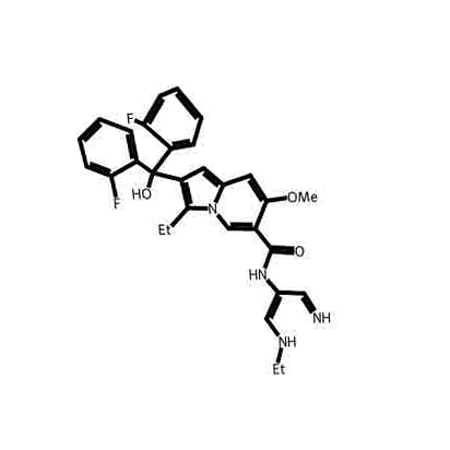 CCN/C=C(\C=N)NC(=O)c1cn2c(CC)c(C(O)(c3ccccc3F)c3ccccc3F)cc2cc1OC